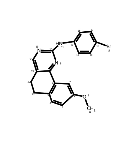 COc1ccc2c(c1)-c1nc(Nc3ccc(Br)cc3)ncc1CC2